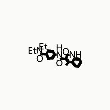 CCN(CC)C(=O)c1ccc(NC(=O)c2c(C)c3ccccc3[nH]c2=O)cc1